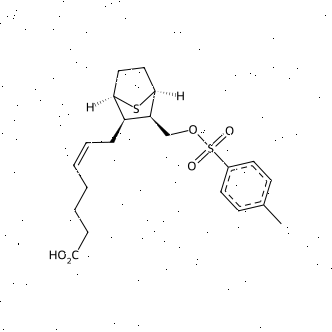 Cc1ccc(S(=O)(=O)OC[C@H]2[C@@H](C/C=C\CCCC(=O)O)[C@H]3CC[C@@H]2S3)cc1